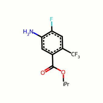 CC(C)OC(=O)c1cc(N)c(F)cc1C(F)(F)F